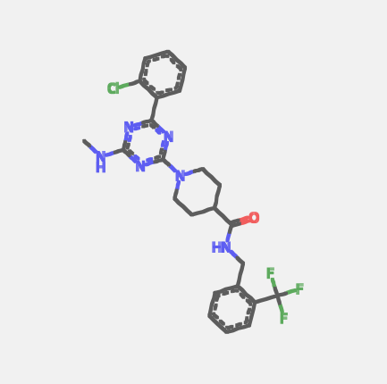 CNc1nc(-c2ccccc2Cl)nc(N2CCC(C(=O)NCc3ccccc3C(F)(F)F)CC2)n1